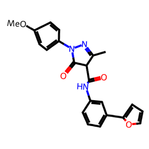 COc1ccc(N2N=C(C)C(C(=O)Nc3cccc(-c4ccco4)c3)C2=O)cc1